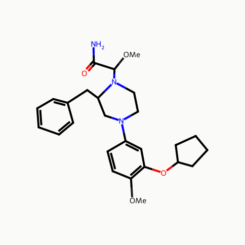 COc1ccc(N2CCN(C(OC)C(N)=O)C(Cc3ccccc3)C2)cc1OC1CCCC1